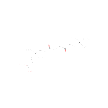 CCCC(C)(C)CCC(=O)CCC(=O)CCC(C)(C)CCC(O)O